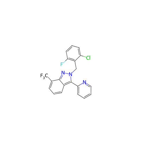 Fc1cccc(Cl)c1Cn1nc2c(C(F)(F)F)cccc2c1-c1ccccn1